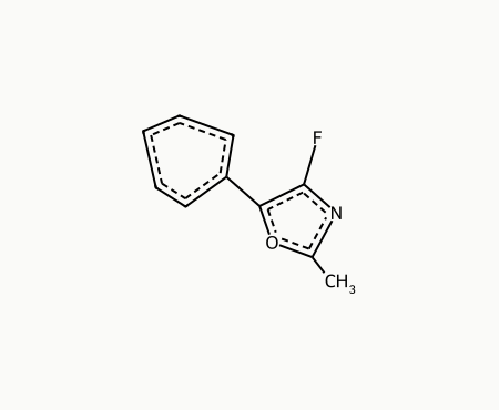 Cc1nc(F)c(-c2ccccc2)o1